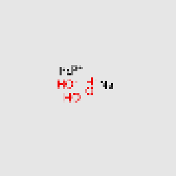 [Na+].[OH-].[OH-].[OH-].[Pd+2]